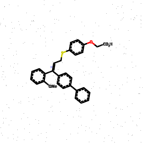 COc1ccccc1/C(=C/CSc1ccc(OCC(=O)O)cc1)c1ccc(-c2ccccc2)cc1